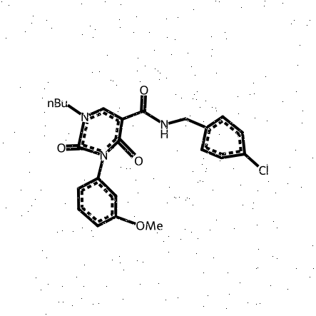 CCCCn1cc(C(=O)NCc2ccc(Cl)cc2)c(=O)n(-c2cccc(OC)c2)c1=O